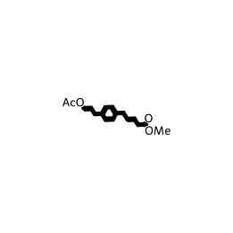 COC(=O)CC=CCc1ccc(CC=COC(C)=O)cc1